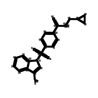 CC(C)c1cn(S(=O)(=O)c2ccc(C(=O)NCC3CC3)cc2)c2ccccc12